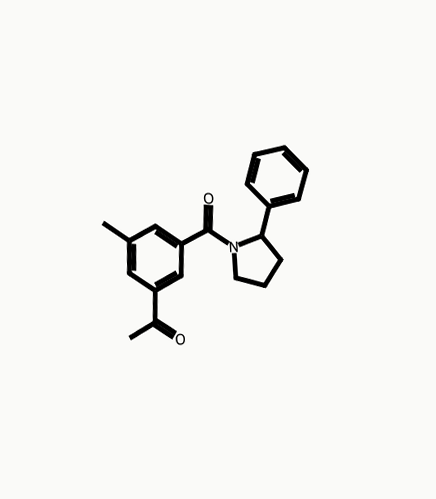 CC(=O)c1cc(C)cc(C(=O)N2CCCC2c2ccccc2)c1